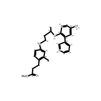 COC(=O)CCc1ccc(OCCC(C)Oc2ncc(C(F)(F)F)cc2-c2cccnc2)cc1C